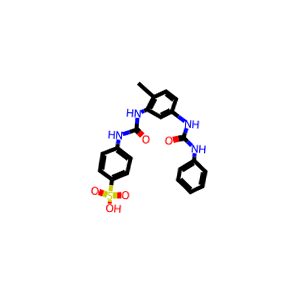 Cc1ccc(NC(=O)Nc2ccccc2)cc1NC(=O)Nc1ccc(S(=O)(=O)O)cc1